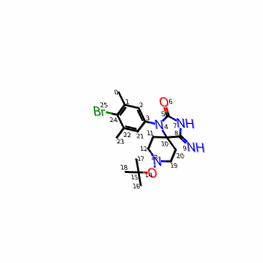 Cc1cc(N2C(=O)NC(=N)C23CCN(OC(C)(C)C)CC3)cc(C)c1Br